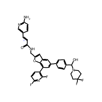 Nc1ccc(/C=C/C(=O)NCc2cc3cc(-c4ccc(C(O)N5CCC(F)(F)CC5)cc4)cc(-c4ccc(F)nc4F)c3o2)cn1